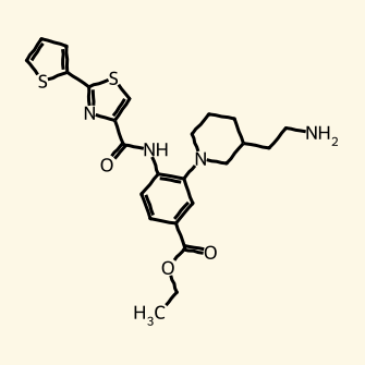 CCOC(=O)c1ccc(NC(=O)c2csc(-c3cccs3)n2)c(N2CCCC(CCN)C2)c1